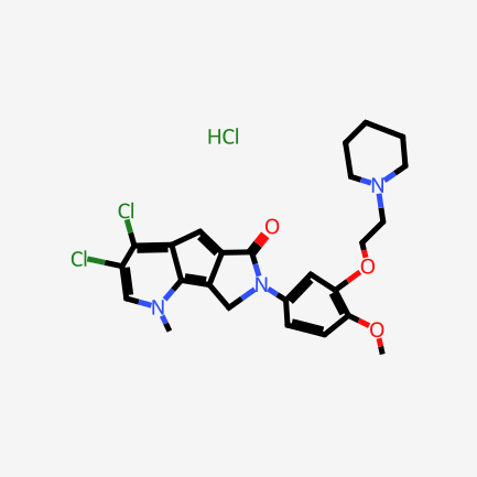 COc1ccc(N2Cc3c(cc4c(Cl)c(Cl)cn(C)c3-4)C2=O)cc1OCCN1CCCCC1.Cl